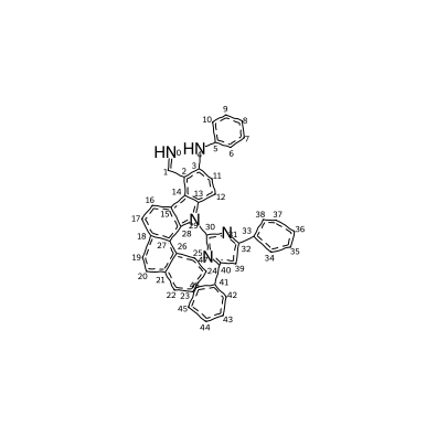 N=Cc1c(Nc2ccccc2)ccc2c1c1ccc3ccc4ccccc4c3c1n2-c1nc(-c2ccccc2)cc(-c2ccccc2)n1